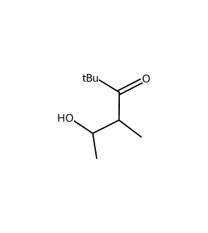 CC(O)C(C)C(=O)C(C)(C)C